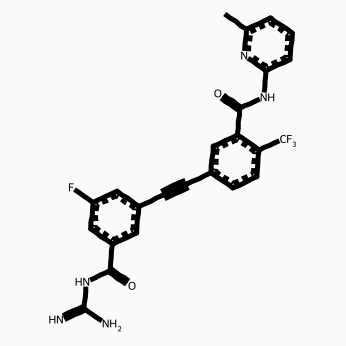 Cc1cccc(NC(=O)c2cc(C#Cc3cc(F)cc(C(=O)NC(=N)N)c3)ccc2C(F)(F)F)n1